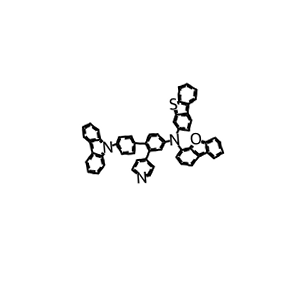 c1ccc2c(c1)oc1c(N(c3ccc(-c4ccc(-n5c6ccccc6c6ccccc65)cc4)c(-c4ccncc4)c3)c3ccc4c(c3)sc3ccccc34)cccc12